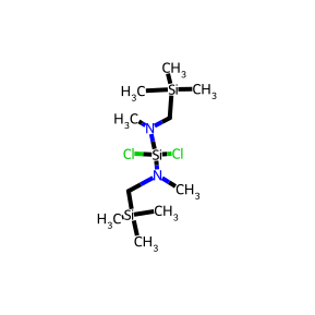 CN(C[Si](C)(C)C)[Si](Cl)(Cl)N(C)C[Si](C)(C)C